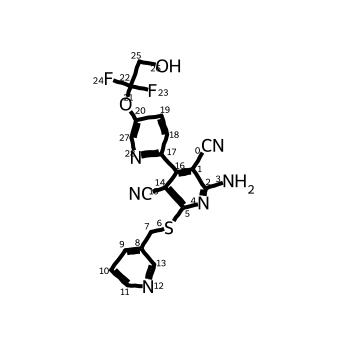 N#Cc1c(N)nc(SCc2cccnc2)c(C#N)c1-c1ccc(OC(F)(F)CO)cn1